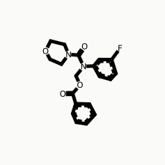 O=C(OCN(C(=O)N1CCOCC1)c1cccc(F)c1)c1ccccc1